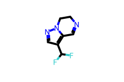 FC(F)c1cnn2c1C=NCC2